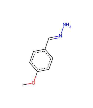 COc1ccc(C=NN)cc1